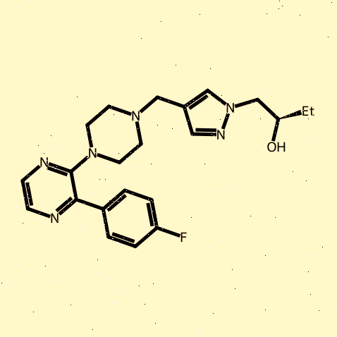 CC[C@@H](O)Cn1cc(CN2CCN(c3nccnc3-c3ccc(F)cc3)CC2)cn1